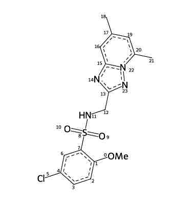 COc1ccc(Cl)cc1S(=O)(=O)NCc1nc2cc(C)cc(C)n2n1